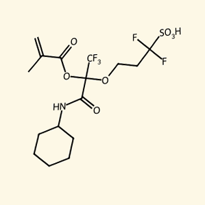 C=C(C)C(=O)OC(OCCC(F)(F)S(=O)(=O)O)(C(=O)NC1CCCCC1)C(F)(F)F